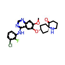 COc1cc2ncnc(Nc3cccc(Cl)c3F)c2cc1O[C@H]1CC[C@@]2(CC1)NCCCC2=O